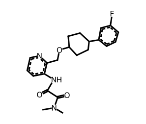 CN(C)C(=O)C(=O)Nc1cccnc1COC1CCC(c2cccc(F)c2)CC1